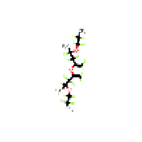 FC(F)=C(OC(=C(F)F)C(F)(F)C(F)(OC(F)(F)C(F)(F)C(F)(F)F)C(F)(F)F)C(F)(F)C(F)(OC(F)(F)C(F)(F)C(F)(F)F)C(F)(F)F